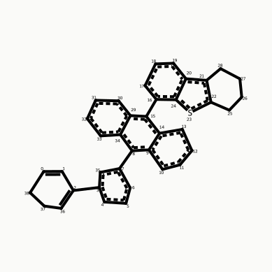 C1=CC(c2cccc(-c3c4ccccc4c(-c4cccc5c6c(sc45)CCCC6)c4ccccc34)c2)=CCC1